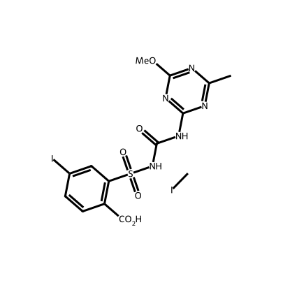 CI.COc1nc(C)nc(NC(=O)NS(=O)(=O)c2cc(I)ccc2C(=O)O)n1